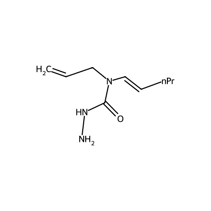 C=CCN(/C=C/CCC)C(=O)NN